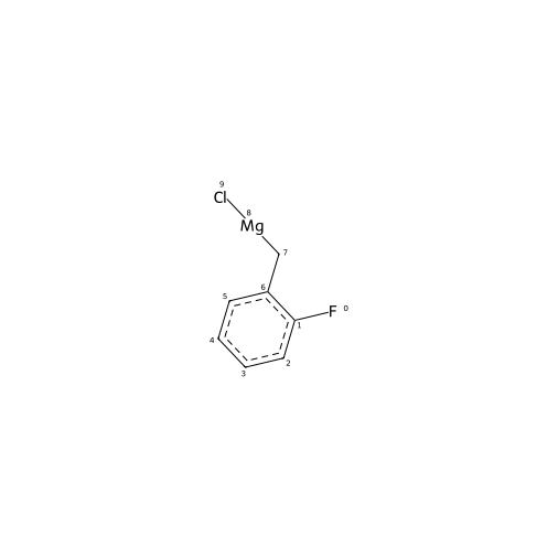 Fc1ccccc1[CH2][Mg][Cl]